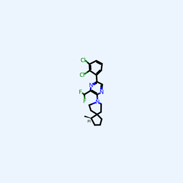 C[C@@H]1CCCC12CCN(c1ncc(-c3cccc(Cl)c3Cl)nc1C(F)F)CC2